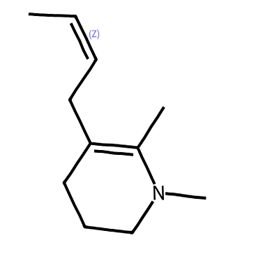 C/C=C\CC1=C(C)N(C)CCC1